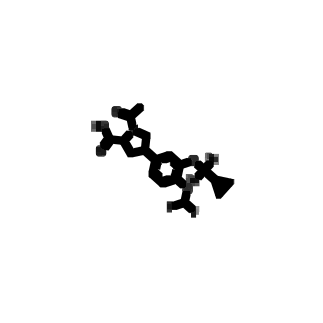 [2H]C([2H])(Oc1cc(C2CC(C(=O)O)N(C(C)=O)C2)ccc1OC(F)F)C1CC1